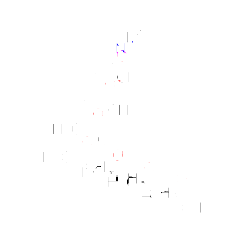 CC(C)[O-].CC(C)[O-].CC(C)[O-].CC(C)[O-].CC(C)[O-].CC(C)[O-].CC(C)[O-].[N+3].[Ti+4]